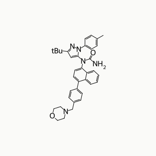 Cc1ccc(-n2nc(C(C)(C)C)cc2N(C(N)=O)c2ccc(-c3ccc(CN4CCOCC4)cc3)c3ccccc23)cc1